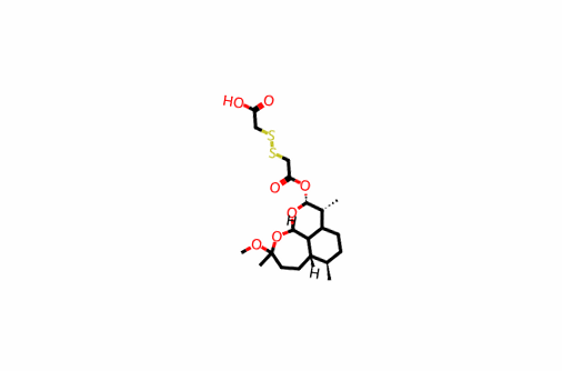 COC1(C)CC[C@@H]2C3C(CC[C@H]2C)[C@@H](C)[C@@H](OC(=O)CSSCC(=O)O)O[C@@H]3O1